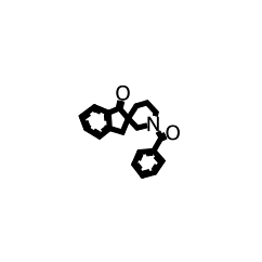 O=C(c1ccccc1)N1CCCC2(Cc3ccccc3C2=O)C1